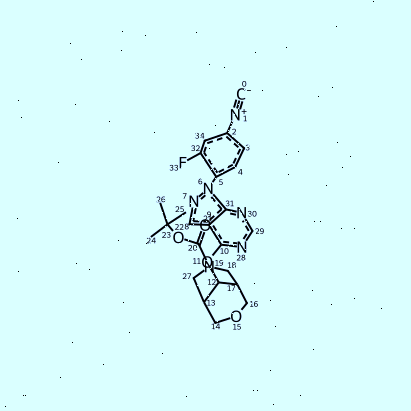 [C-]#[N+]c1ccc(-n2ncc3c(OC4C5COCC4CN(C(=O)OC(C)(C)C)C5)ncnc32)c(F)c1